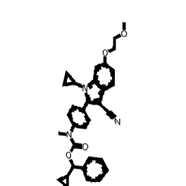 COCCOc1ccc2c(C#N)c(-c3ccc(N(C)C(=O)OC(c4ccccc4)C4CC4)cc3)n(C3CC3)c2c1